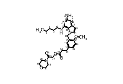 CCCCCNc1nc(N)nc2ccn(Cc3cc(CCC(=O)OCC(=O)N4CCOCC4)ccc3OC)c12